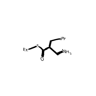 CCSC(=O)C(CN)CC(C)C